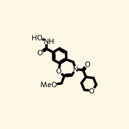 COCC1=CN(C(=O)C2CCOCC2)Cc2ccc(C(=O)NO)cc2O1